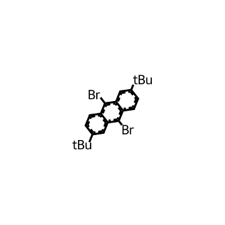 CC(C)(C)c1ccc2c(Br)c3cc(C(C)(C)C)ccc3c(Br)c2c1